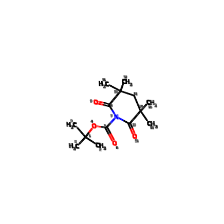 CC(C)(C)OC(=O)N1C(=O)C(C)(C)CC(C)(C)C1=O